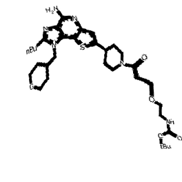 CCCCc1nc2c(N)nc3cc(C4CCN(C(=O)CCOCCNC(=O)OC(C)(C)C)CC4)sc3c2n1CC1CCOCC1